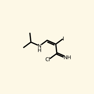 CC(C)N/C=C(/I)C(=N)Cl